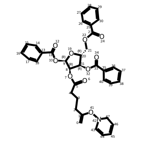 C=C(CCCC(=O)O[C@H]1[C@@H](OC(=O)c2ccccc2)O[C@H](COC(=O)c2ccccc2)[C@H]1OC(=O)c1ccccc1)ON1C=CC=CC1